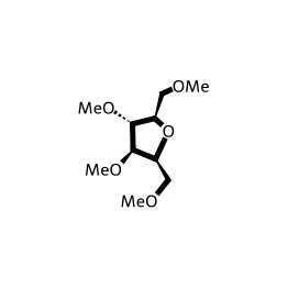 COC[C@@H]1O[C@H](COC)[C@@H](OC)[C@@H]1OC